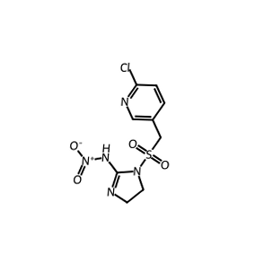 O=[N+]([O-])NC1=NCCN1S(=O)(=O)Cc1ccc(Cl)nc1